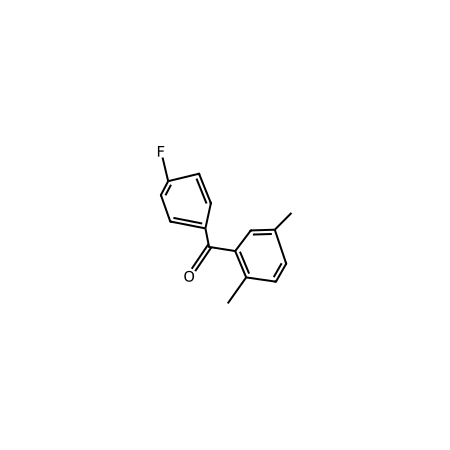 Cc1ccc(C)c(C(=O)c2ccc(F)cc2)c1